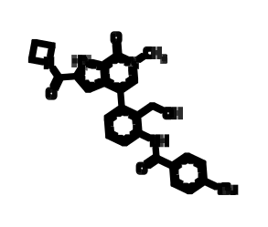 Cn1cc(-c2cccc(NC(=O)c3ccc(C(C)(C)C)cc3)c2CO)c2cc(C(=O)N3CCC3)[nH]c2c1=O